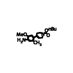 CCCCOC(=O)N1CC=C(c2cc(OC)c(N)cc2C)CC1